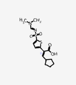 CN(C)C=NS(=O)(=O)c1ccc(/C(=C/C2CCCC2)C(=O)O)s1